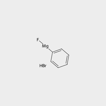 Br.[F][Mg][c]1ccccc1